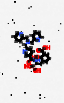 O=C(N[C@H](Cc1cccc(C(=O)O)c1O)B(O)O)c1ccc(CN(Cc2ccccn2)Cc2ccccn2)nc1